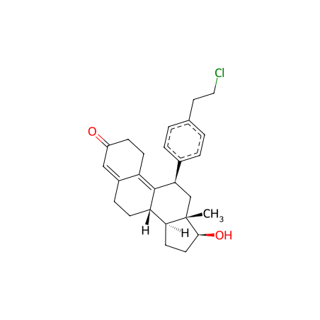 C[C@]12C[C@H](c3ccc(CCCl)cc3)C3=C4CCC(=O)C=C4CC[C@H]3[C@@H]1CC[C@@H]2O